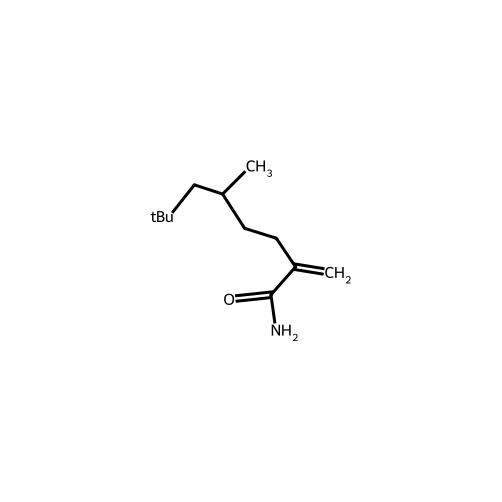 C=C(CCC(C)CC(C)(C)C)C(N)=O